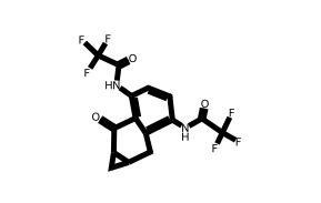 O=C1c2c(NC(=O)C(F)(F)F)ccc(NC(=O)C(F)(F)F)c2CC2CC12